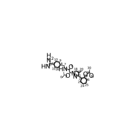 CCOC(C(=O)NCc1ccc(C(=N)N)cc1)n1cc(C)c(-c2ccccc2OC(C)=O)n1